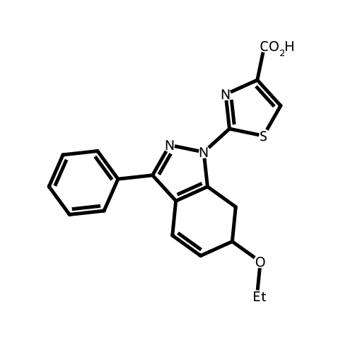 CCOC1C=Cc2c(-c3ccccc3)nn(-c3nc(C(=O)O)cs3)c2C1